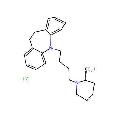 Cl.O=C(O)[C@H]1CCCCN1CCCCN1c2ccccc2CCc2ccccc21